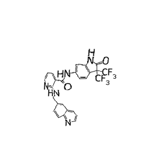 O=C(Nc1ccc2c(c1)NC(=O)C2(C(F)(F)F)C(F)(F)F)c1cccnc1NCc1ccc2ncccc2c1